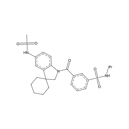 CC(C)NS(=O)(=O)c1cccc(C(=O)N2CC3(CCCCC3)c3cc(NS(C)(=O)=O)ccc32)c1